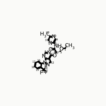 CCOC[C@H](Oc1ncnc2c1cnn2-c1ccccc1C(F)(F)F)C(=O)Nc1cnc(C)cn1